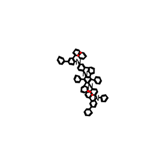 c1ccc(-c2ccc(N(c3ccccc3)c3ccc4c(c3)c3cccc5c6c(-c7ccccc7)c7c(c(-c8ccccc8)c6n4c35)c3cccc4c5cc(N(c6ccccc6)c6ccc(-c8ccccc8)cc6-c6ccccc6)ccc5n7c43)c(-c3ccccc3)c2)cc1